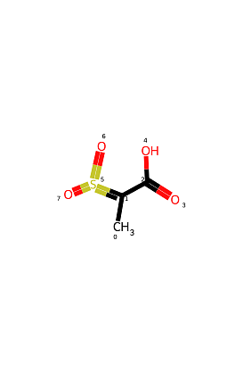 CC(C(=O)O)=S(=O)=O